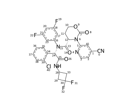 N#Cc1ccnc(N2C(=O)OCC[C@H]2C(=O)N(c2cc(F)cc(F)c2)[C@H](C(=O)NC2CC(F)(F)C2)c2ccccc2Cl)c1